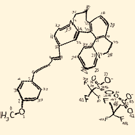 COc1ccc(C=CC=Cc2cc[n+]3c(c2)-c2c(ccc4c2-c2cccc[n+]2CC4)CC3)cc1.O=S(=O)([O-])C(F)(F)F.O=S(=O)([O-])C(F)(F)F